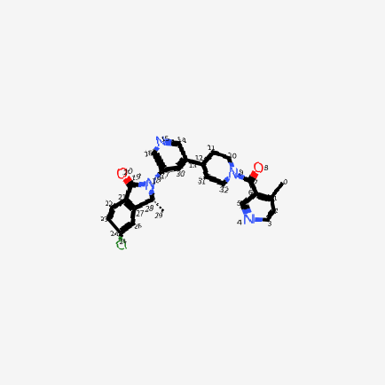 Cc1ccncc1C(=O)N1CCC(c2cncc(N3C(=O)c4ccc(Cl)cc4[C@H]3C)c2)CC1